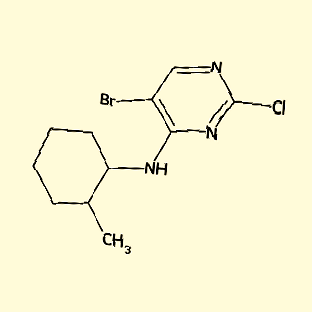 CC1CCCCC1Nc1nc(Cl)ncc1Br